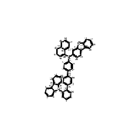 c1ccc(-n2c3ccccc3c3ccccc32)c(-c2ccc(-c3ccc(N(c4ccc5c(c4)sc4ccccc45)c4cccc5ccccc45)cc3)cc2)c1